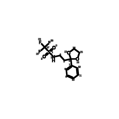 O=S(=O)(NCCC1(c2ccccc2)OCCO1)C(F)(F)F